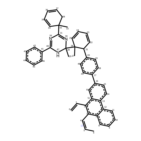 C=Cc1c(/C=C\C)c2ccccc2c2ccc(-c3ccc(C4C=CC=CC4(C)C4(C)N=C(C5(C)C=CC=CC5)N=C(c5ccccc5)N4)cc3)cc12